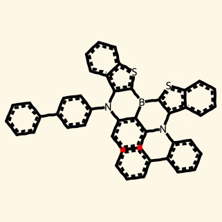 c1ccc(-c2ccc(N3c4cccc5c4B(c4sc6ccccc6c43)c3sc4ccccc4c3N5c3ccccc3-c3ccccc3)cc2)cc1